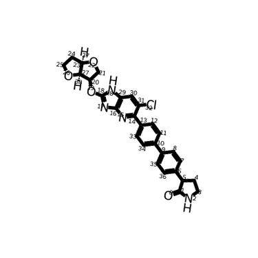 O=C1NCCC1c1ccc(-c2ccc(-c3nc4nc(OC5CO[C@@H]6CCO[C@H]56)[nH]c4cc3Cl)cc2)cc1